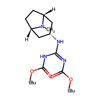 CN1[C@@H]2CC[C@H]1C[C@@H](N/C(=N/C(=O)OC(C)(C)C)NC(=O)OC(C)(C)C)C2